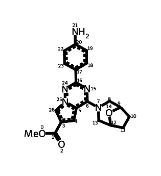 COC(=O)c1cc2c(N3CC4CCC(C3)O4)nc(-c3ccc(N)cc3)nn2c1